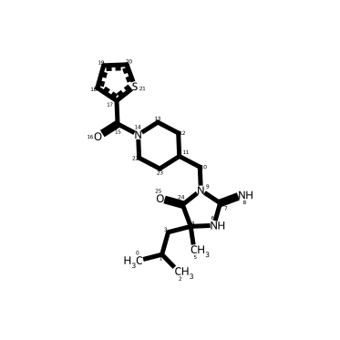 CC(C)CC1(C)NC(=N)N(CC2CCN(C(=O)c3cccs3)CC2)C1=O